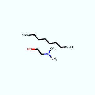 CCCCCCCCCCCCCCCC(=O)O.CN(C)CCO